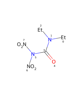 CCN(CC)C(=O)N([N+](=O)[O-])[N+](=O)[O-]